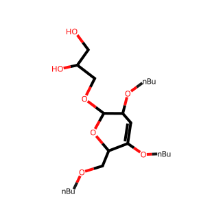 CCCCOCC1OC(OCC(O)CO)C(OCCCC)C=C1OCCCC